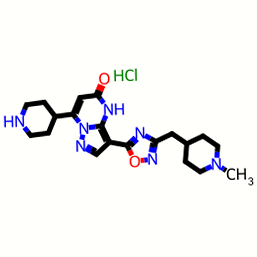 CN1CCC(Cc2noc(-c3cnn4c(C5CCNCC5)cc(=O)[nH]c34)n2)CC1.Cl